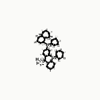 CC1(C)c2ccccc2N(c2ccccc2)c2cc(N(c3ccccc3)c3cccc4ccccc34)ccc21